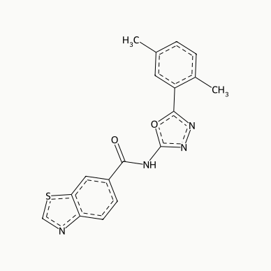 Cc1ccc(C)c(-c2nnc(NC(=O)c3ccc4ncsc4c3)o2)c1